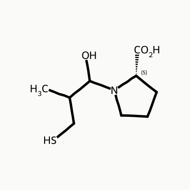 CC(CS)C(O)N1CCC[C@H]1C(=O)O